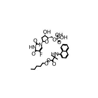 CCCCCOOC(=O)C(C)(C)Nc1cccc2ccccc12.O=c1[nH]c(=O)n([C@H]2C[C@H](O)[C@@H](COP(=O)(O)O)O2)cc1F